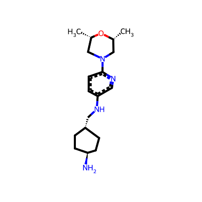 C[C@@H]1CN(c2ccc(NC[C@H]3CC[C@H](N)CC3)cn2)C[C@H](C)O1